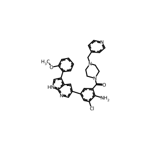 COc1ccccc1-c1c[nH]c2ncc(-c3cc(Cl)c(N)c(C(=O)N4CCN(Cc5ccncc5)CC4)c3)cc12